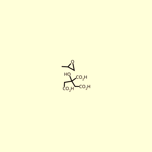 CC1CO1.O=C(O)CC(O)(CC(=O)O)C(=O)O